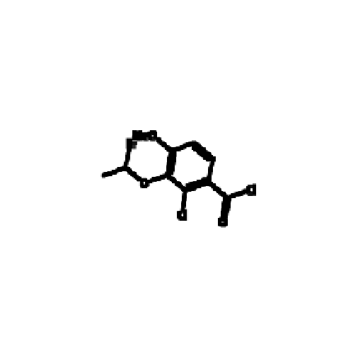 COc1ccc(C(=O)Cl)c(Cl)c1OC(C)Br